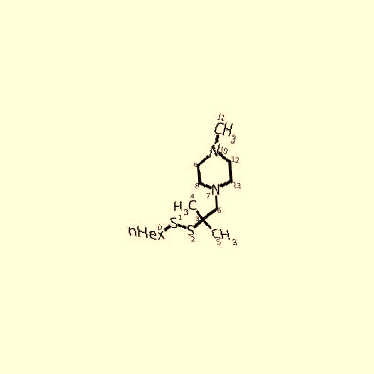 CCCCCCSSC(C)(C)CN1CCN(C)CC1